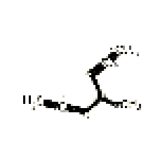 C=C=CC(C)C=C=C